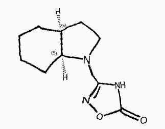 O=c1[nH]c(N2CC[C@@H]3CCCC[C@@H]32)no1